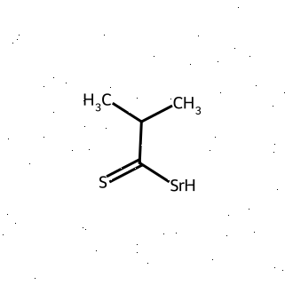 CC(C)[C](=S)[SrH]